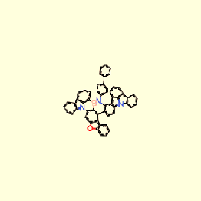 c1ccc(-c2ccc(N3B4c5c(cc6oc7ccccc7c6c5-c5ccc6c(c53)c3cccc5c7ccccc7n6c53)-n3c5ccccc5c5cccc4c53)cc2)cc1